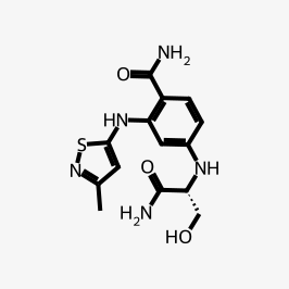 Cc1cc(Nc2cc(N[C@H](CO)C(N)=O)ccc2C(N)=O)sn1